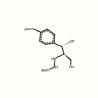 CCCCCc1ccc([C@H](O)[C@@H](CO)NBOC)cc1